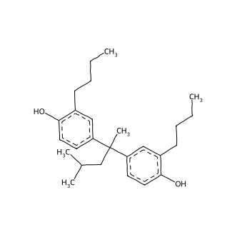 CCCCc1cc(C(C)(CC(C)C)c2ccc(O)c(CCCC)c2)ccc1O